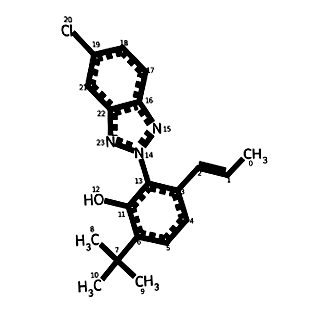 CC=Cc1ccc(C(C)(C)C)c(O)c1-n1nc2ccc(Cl)cc2n1